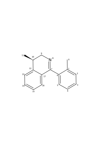 Cc1ccccc1C1=NC[C@H](C)c2ccccc21